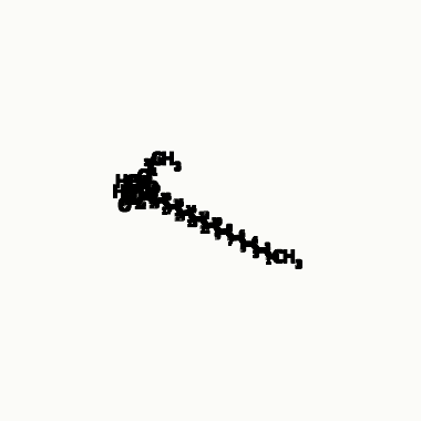 CCCCCCCCCCCCCCCCCCCCOC1CC(=O)NC1(O)C(=O)OCCC